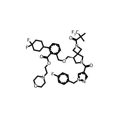 CC(C)(C(=O)N1CC2(CN(C(=O)c3cnn(Cc4ccc(F)cc4)c3)C[C@H]2COCc2cccc(C3CCC(F)(F)CC3)c2C(=O)OCCN2CCOCC2)C1)C(F)(F)F